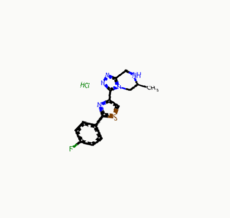 CC1Cn2c(nnc2-c2csc(-c3ccc(F)cc3)n2)CN1.Cl